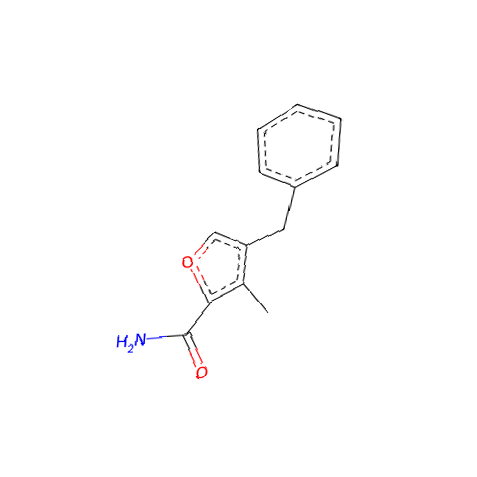 Cc1c(Cc2ccccc2)coc1C(N)=O